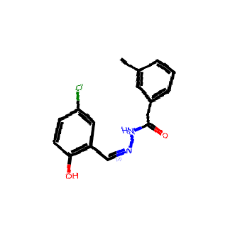 Cc1cccc(C(=O)N/N=C\c2cc(Cl)ccc2O)c1